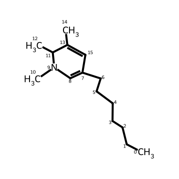 CCCCCCCC1=CN(C)C(C)C(C)=C1